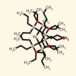 CCC[Si](CCC)(CCC)[C]([Yb][C]([Si](CCC)(CCC)CCC)([Si](CCC)(CCC)CCC)[Si](CCC)(CCC)CCC)([Si](CCC)(CCC)CCC)[Si](CCC)(CCC)CCC